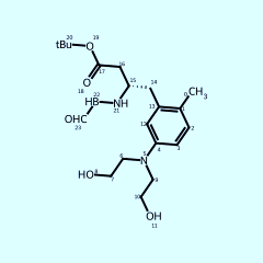 Cc1ccc(N(CCO)CCO)cc1C[C@@H](CC(=O)OC(C)(C)C)NBC=O